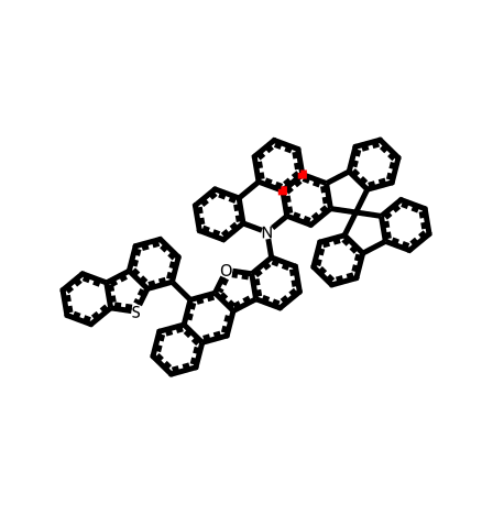 c1ccc(-c2ccccc2N(c2ccc3c(c2)C2(c4ccccc4-c4ccccc42)c2ccccc2-3)c2cccc3c2oc2c(-c4cccc5c4sc4ccccc45)c4ccccc4cc23)cc1